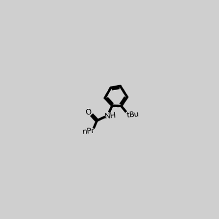 CCCC(=O)Nc1ccccc1C(C)(C)C